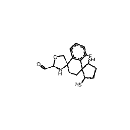 O=CC1NC2(CCC3(c4c(F)cccc42)C(S)CCC3S)CO1